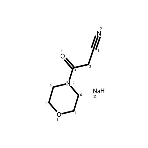 N#CCC(=O)N1CCOCC1.[NaH]